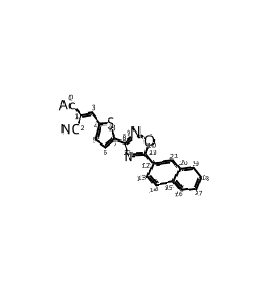 CC(=O)/C(C#N)=C/c1ccc(-c2noc(-c3ccc4ccccc4c3)n2)s1